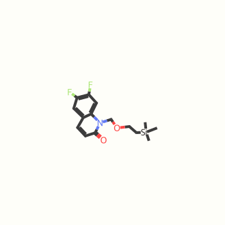 C[Si](C)(C)CCOCn1c(=O)ccc2cc(F)c(F)cc21